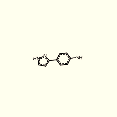 Sc1ccc(-c2cc[nH]n2)cc1